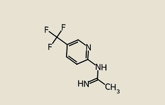 CC(=N)Nc1ccc(C(F)(F)F)cn1